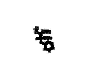 CCON(OC)C(C)(Cc1ccccc1)OC